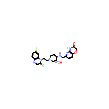 O=C1COc2ccc(CN[C@H]3CCN(CCn4c(=O)cnc5ccc(F)cc54)C[C@H]3O)nc2N1